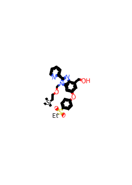 CCS(=O)(=O)c1ccc(Oc2cc(CO)c3nc(-c4ccccn4)n(COCC[Si](C)(C)C)c3c2)cc1